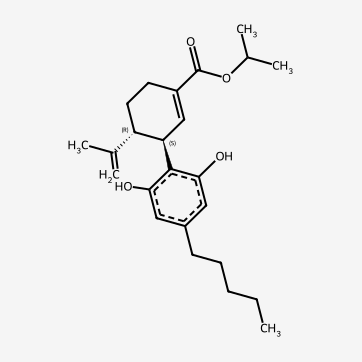 C=C(C)[C@@H]1CCC(C(=O)OC(C)C)=C[C@H]1c1c(O)cc(CCCCC)cc1O